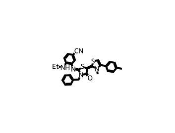 CCNc1ccc(C#N)cc1N=C1SC(=C2SC=C(c3ccc(C)cc3)N2C)C(=O)N1Cc1ccccc1